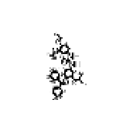 CCOc1ccc(NC(=O)Nc2ccc(OC(c3ccccc3)c3ccccc3)c(CC(C)C)c2)cc1OCC